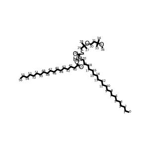 CCCCCCCCCCCCCCCCCCCC(CNC(=O)SCC(C)(C)OCCC(C)(C)OC)OC(=O)CCCCCCCCCCCCCCCCC